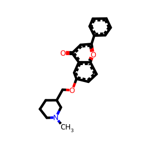 CN1CCCC(COc2ccc3oc(-c4ccccc4)cc(=O)c3c2)C1